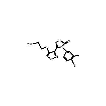 CNCCSc1nonc1-c1noc(=O)n1-c1ccc(F)c(I)c1